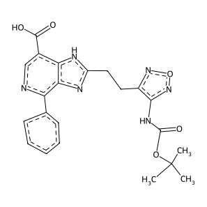 CC(C)(C)OC(=O)Nc1nonc1CCc1nc2c(-c3ccccc3)ncc(C(=O)O)c2[nH]1